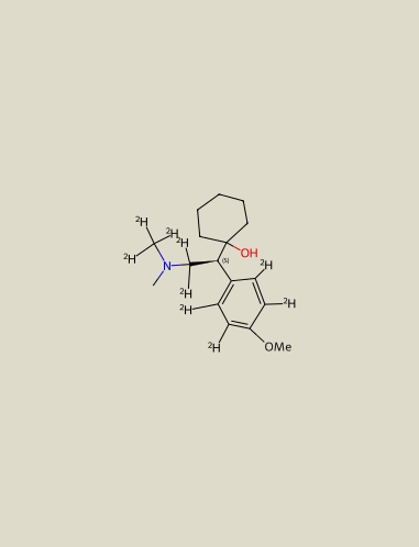 [2H]c1c([2H])c([C@H](C2(O)CCCCC2)C([2H])([2H])N(C)C([2H])([2H])[2H])c([2H])c([2H])c1OC